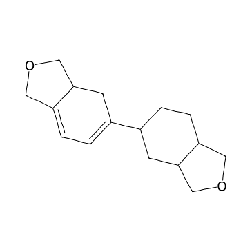 C1=C2COCC2CC(C2CCC3COCC3C2)=C1